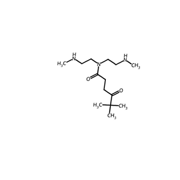 CNCCN(CCNC)C(=O)CCC(=O)C(C)(C)C